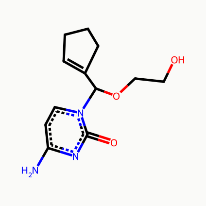 Nc1ccn(C(OCCO)C2=CCCC2)c(=O)n1